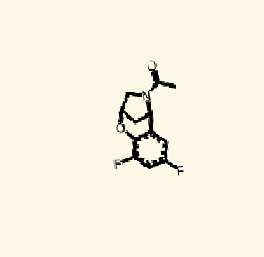 CC(=O)N1CC2CC1c1cc(F)cc(F)c1O2